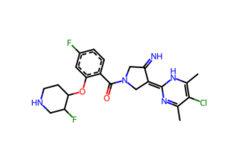 CC1=N/C(=C2\CN(C(=O)c3ccc(F)cc3OC3CCNCC3F)CC2=N)NC(C)=C1Cl